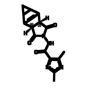 Cc1nc(C)c(C(=O)NN2C(=O)[C@@H]3C4C=CC(C5CC54)[C@@H]3C2=O)s1